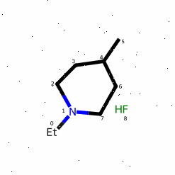 CCN1CCC(C)CC1.F